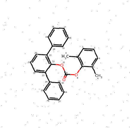 Cc1cccc(C)c1OC(=O)Oc1c(-c2ccccc2)cccc1-c1ccccc1